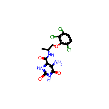 CC(COc1c(Cl)ccc(Cl)c1Cl)NC(=O)c1[nH]c(=O)[nH]c(=O)c1N